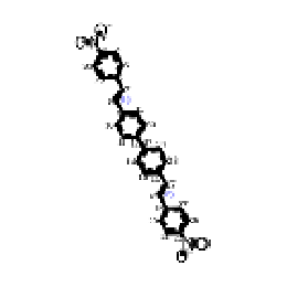 O=[N+]([O-])c1ccc(/C=C/c2ccc(-c3ccc(/C=C/c4ccc([N+](=O)[O-])cc4)cc3)cc2)cc1